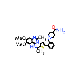 COc1cc2nc(C)nc(NC(C)c3ccc(-c4ccccc4CN4CCC(C(N)=O)CC4)s3)c2cc1OC